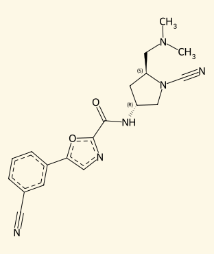 CN(C)C[C@@H]1C[C@@H](NC(=O)c2ncc(-c3cccc(C#N)c3)o2)CN1C#N